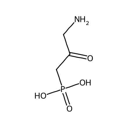 NCC(=O)CP(=O)(O)O